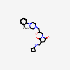 COc1ccccc1N1CCN(CC(O)CN2C(=O)CC(CNC3CCC3)C2=O)CC1